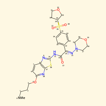 CNCCCOc1ccc2nc(NC(=O)/C(=N/N3CCOCC3)c3ccc(S(=O)(=O)[C@H]4CCOC4)cc3)sc2n1